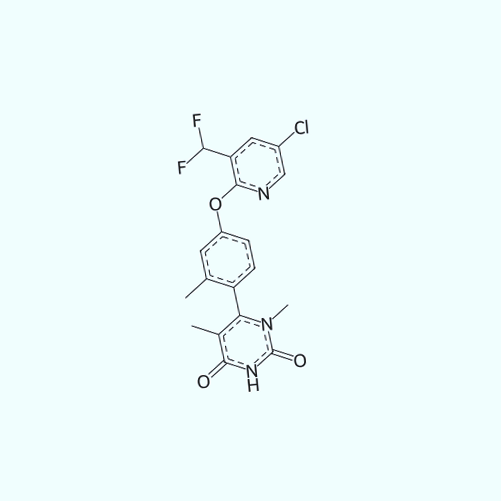 Cc1cc(Oc2ncc(Cl)cc2C(F)F)ccc1-c1c(C)c(=O)[nH]c(=O)n1C